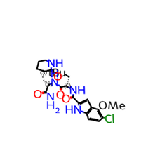 COc1c(Cl)ccc2[nH]c(C(=O)N[C@@H](CC(C)(C)C)C(=O)N[C@@H](C[C@@H]3CCCNC3=O)C(N)=O)cc12